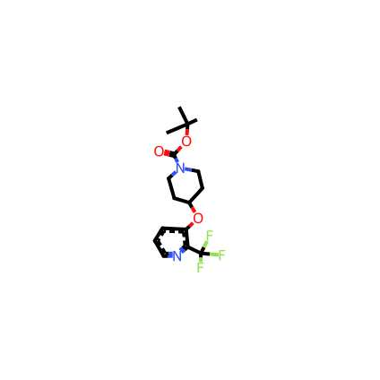 CC(C)(C)OC(=O)N1CCC(Oc2cccnc2C(F)(F)F)CC1